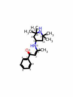 CC(=CC(=O)c1ccccc1)NC1CC(C)(C)NC(C)(C)C1